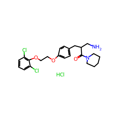 Cl.NCC(Cc1ccc(OCCOc2c(Cl)cccc2Cl)cc1)C(=O)N1CCCCC1